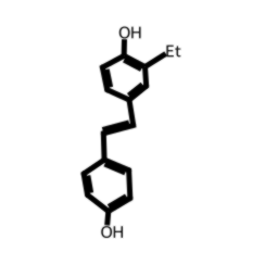 CCc1cc(C=Cc2ccc(O)cc2)ccc1O